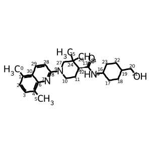 Cc1ccc(C)c2nc(N3CC[C@H](C(=O)NC4CCC(CO)CC4)C(C)(C)C3)ccc12